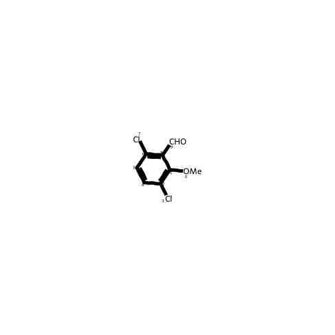 COc1c(Cl)ccc(Cl)c1C=O